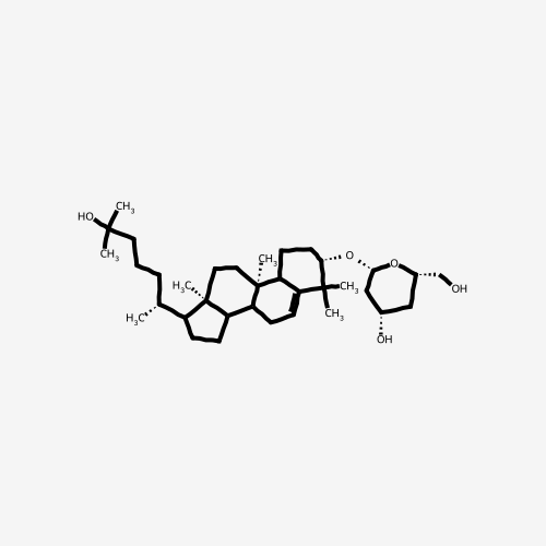 C[C@H](CCCC(C)(C)O)C1CCC2C3CC=C4C(CC[C@H](O[C@H]5C[C@@H](O)C[C@@H](CO)O5)C4(C)C)[C@]3(C)CC[C@@]21C